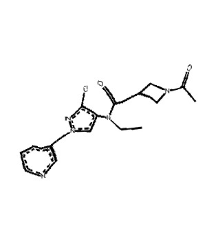 CCN(C(=O)C1CN(C(C)=O)C1)c1cn(-c2cccnc2)nc1Cl